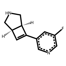 Fc1cncc(C2=C[C@H]3CNC[C@@H]23)c1